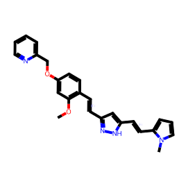 COc1cc(OCc2ccccn2)ccc1/C=C/c1cc(/C=C/c2cccn2C)[nH]n1